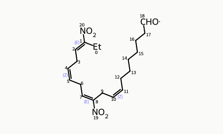 CC/C(=C\C/C=C\C/C=C(\C/C=C\CCCCCC[C]=O)[N+](=O)[O-])[N+](=O)[O-]